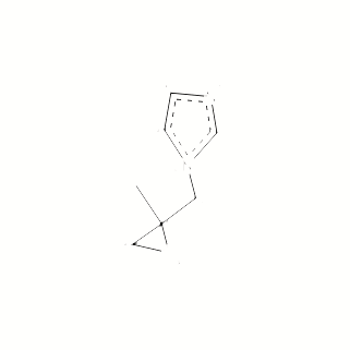 CC1(Cn2ccnc2)CO1